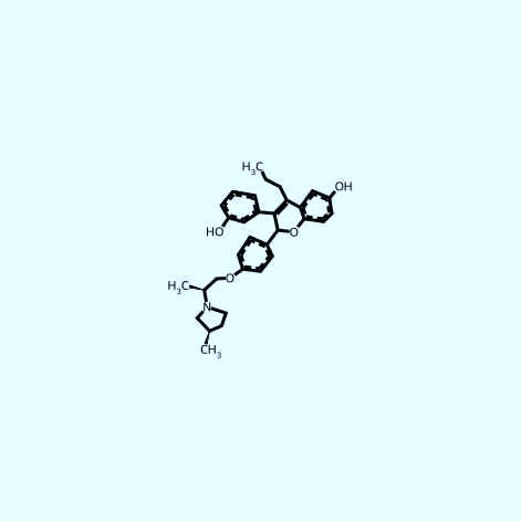 CCCC1=C(c2cccc(O)c2)C(c2ccc(OC[C@H](C)N3CC[C@@H](C)C3)cc2)Oc2ccc(O)cc21